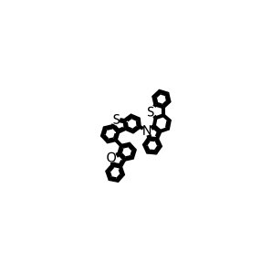 C1=CC2c3ccccc3SC2c2c1c1ccccc1n2-c1ccc2sc3cccc(-c4cccc5c4oc4ccccc45)c3c2c1